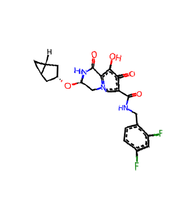 O=C(NCc1ccc(F)cc1F)c1cn2c(c(O)c1=O)C(=O)N[C@H](O[C@@H]1CC3C[C@@H]3C1)C2